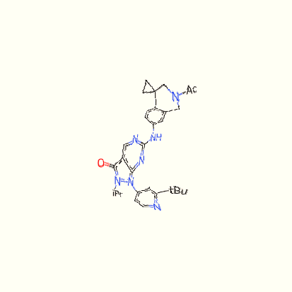 CC(=O)N1Cc2cc(Nc3ncc4c(=O)n(C(C)C)n(-c5ccnc(C(C)(C)C)c5)c4n3)ccc2C2(CC2)C1